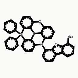 CC(C)(C)c1cccc2c1oc1c(N3c4cccc5c4B4c6c(cccc6[Si](c6ccccc6)(c6ccccc6)c6cccc3c64)O5)cccc12